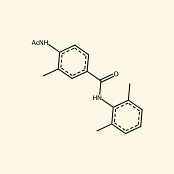 CC(=O)Nc1ccc(C(=O)Nc2c(C)cccc2C)cc1C